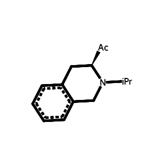 CC(=O)[C@@H]1Cc2ccccc2CN1C(C)C